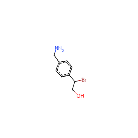 NCc1ccc(C(Br)CO)cc1